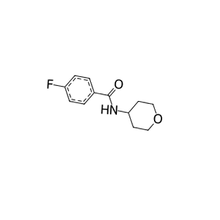 O=C(NC1CCOCC1)c1ccc(F)cc1